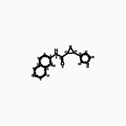 O=C(Nc1ccc2cnccc2n1)C1CC1c1ccsc1